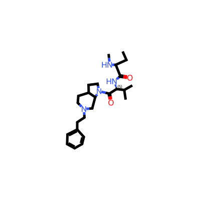 CCC(NC)C(=O)N[C@H](C(=O)N1CCC2CCN(CCc3ccccc3)CC21)C(C)C